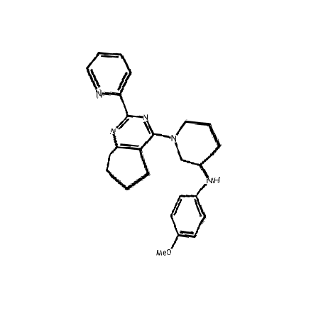 COc1ccc(NC2CCCN(c3nc(-c4ccccn4)nc4c3CCC4)C2)cc1